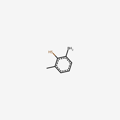 Bc1cccc(C)c1S